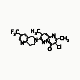 Cc1cc2nc(C)c(Cl)c(=O)n2nc1N1CCc2ncc(C(F)(F)F)cc2C1